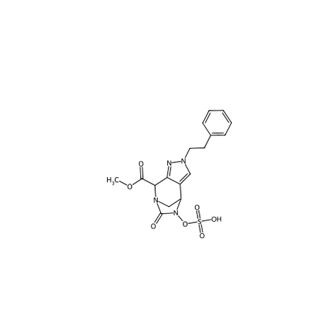 COC(=O)C1c2nn(CCc3ccccc3)cc2C2CN1C(=O)N2OS(=O)(=O)O